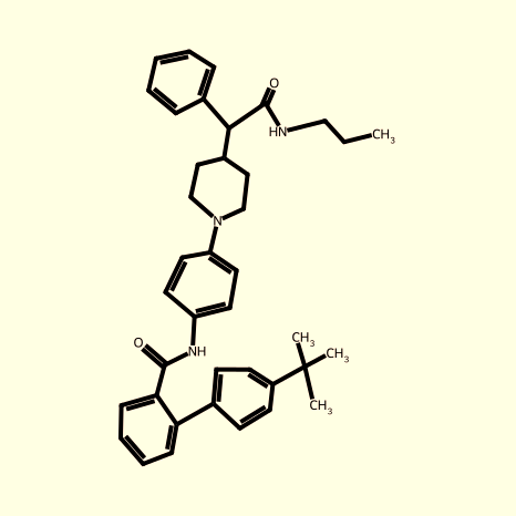 CCCNC(=O)C(c1ccccc1)C1CCN(c2ccc(NC(=O)c3ccccc3-c3ccc(C(C)(C)C)cc3)cc2)CC1